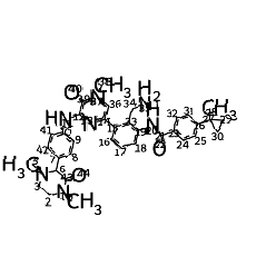 CN1CCN(C)C(c2ccc(Nc3nc(-c4cccc(NC(=O)c5ccc(C6(C)CC6)cc5)c4CN)cn(C)c3=O)cc2)C1=O